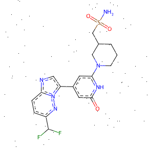 NS(=O)(=O)CC1CCCN(c2cc(-c3cnc4ccc(C(F)F)nn34)cc(=O)[nH]2)C1